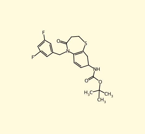 CC(C)(C)OC(=O)NC1C=CC2=C(C1)SCCC(=O)N2Cc1cc(F)cc(F)c1